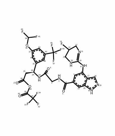 O=C(CNC(=O)c1cc(NC2=NCC(F)CN2)c2cn[nH]c2c1)N[C@@H](CC(=O)OC(=O)C(F)(F)F)c1cc(OC(F)F)cc(C(F)(F)F)c1